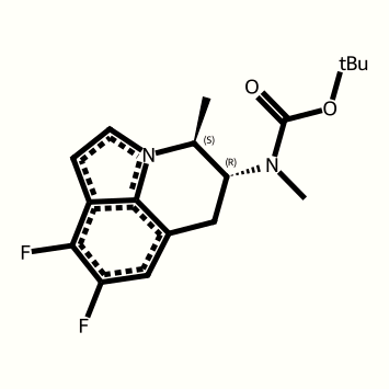 C[C@H]1[C@H](N(C)C(=O)OC(C)(C)C)Cc2cc(F)c(F)c3ccn1c23